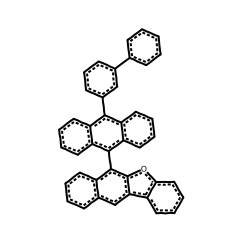 c1ccc(-c2cccc(-c3c4ccccc4c(-c4c5ccccc5cc5c4oc4ccccc45)c4ccccc34)c2)cc1